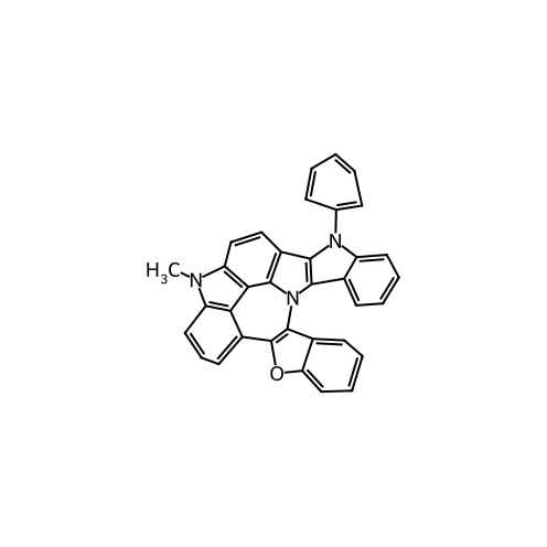 Cn1c2cccc3c4oc5ccccc5c4n4c5c(ccc1c5c32)c1c4c2ccccc2n1-c1ccccc1